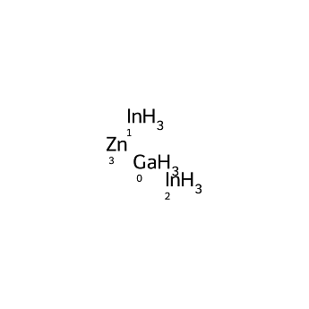 [GaH3].[InH3].[InH3].[Zn]